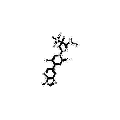 Cn1cnc2cc(-c3cc(=O)n(CCC(C)(C(=O)NO)S(C)(=O)=O)cc3F)cnc21